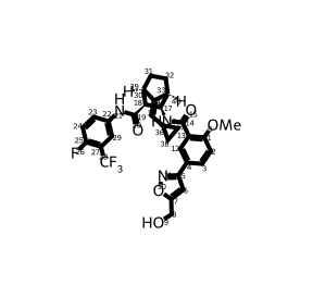 COc1ccc(-c2cc(CO)on2)cc1C(=O)N[C@H]1[C@@H](C(=O)Nc2ccc(F)c(C(F)(F)F)c2)[C@H]2CC[C@@H]1/C2=C\C1CC1